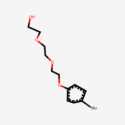 CC(C)(C)c1ccc(OCCOCCOCCO)cc1